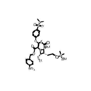 CCS[C@@H]1[C@@H](CCO[Si](C)(C)C(C)(C)C)C(=O)N1C(C(=O)OCc1ccc([N+](=O)[O-])cc1)=C(Oc1ccc(S(=O)(=O)N(C)C)cc1)SC(=O)C(C)(C)C